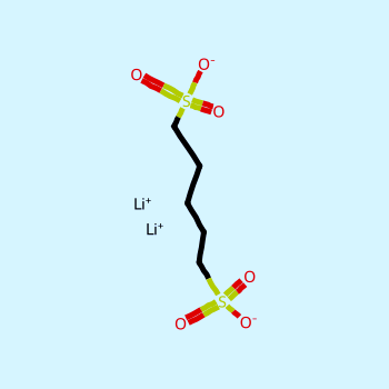 O=S(=O)([O-])CCCCCS(=O)(=O)[O-].[Li+].[Li+]